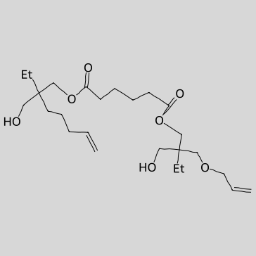 C=CCCCC(CC)(CO)COC(=O)CCCCC(=O)OCC(CC)(CO)COCC=C